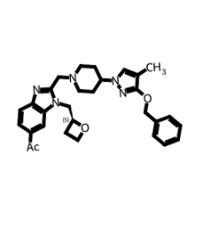 CC(=O)c1ccc2nc(CN3CCC(n4cc(C)c(OCc5ccccc5)n4)CC3)n(C[C@@H]3CCO3)c2c1